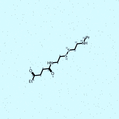 CCC(=O)CCC(=O)NCCSSCCNC(C)C